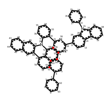 c1ccc(-c2ccc(-c3nc(-c4ccc5c6ccccc6n(-c6ccccc6)c5c4)nc(-c4ccccc4N4c5cc6ccccc6cc5-c5cccc6cccc4c56)n3)cc2)cc1